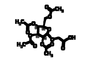 CC(=O)OC[C@H]1OC(OCC(=O)O)[C@H](OC(C)=O)[C@@H](OC(C)=O)[C@@H]1OC(C)=O